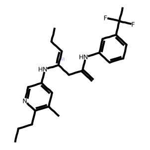 C=C(C/C(=C/CC)Nc1cnc(CCC)c(C)c1)Nc1cccc(C(C)(F)F)c1